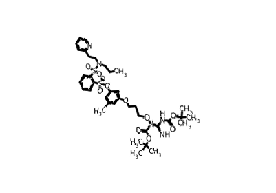 CCCN(CCc1ccccn1)S(=O)(=O)c1ccccc1S(=O)(=O)Oc1cc(C)cc(OCCCON(C(=N)NC(=O)OC(C)(C)C)C(=O)OC(C)(C)C)c1